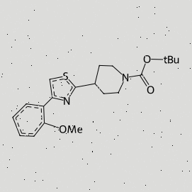 COc1ccccc1-c1csc(C2CCN(C(=O)OC(C)(C)C)CC2)n1